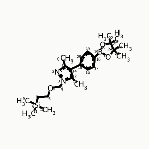 Cc1nn(COCC[Si](C)(C)C)c(C)c1-c1ccc(B2OC(C)(C)C(C)(C)O2)cc1